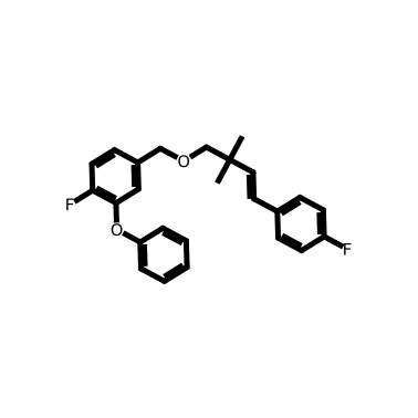 CC(C)(C=Cc1ccc(F)cc1)COCc1ccc(F)c(Oc2ccccc2)c1